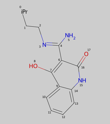 CC(C)CCN=C(N)c1c(O)c2ccccc2[nH]c1=O